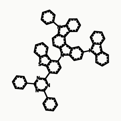 c1ccc(-c2nc(-c3ccccc3)nc(-c3ccc(-n4c5ccc(-n6c7ccccc7c7ccccc76)cc5c5c6c7ccccc7n(-c7ccccc7)c6ccc54)c4c3sc3ccccc34)n2)cc1